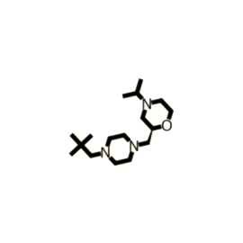 CC(C)N1CCO[C@@H](CN2CCN(CC(C)(C)C)CC2)C1